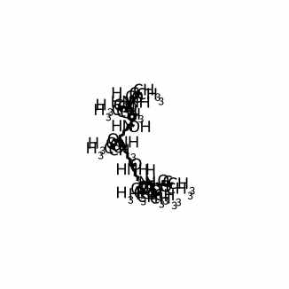 CC(C)(C)OC(=O)CC[C@H](NC(=O)N[C@@H](CCCCNC(=O)CCCCCCC(=O)NC(CCCCNC(O)c1ccc(CN(C(=N)NC(=O)OC(C)(C)C)C(=O)OC(C)(C)C)c(I)c1)C(=O)OC(C)(C)C)C(=O)OC(C)(C)C)C(=O)OC(C)(C)C